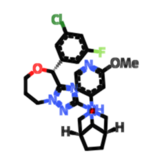 COc1cc(N2C[C@H]3CC[C@@H](C2)C3Nc2nc3n(n2)CCCO[C@@H]3c2cc(F)cc(Cl)c2)ccn1